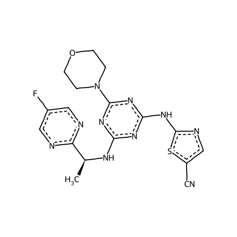 C[C@H](Nc1nc(Nc2ncc(C#N)s2)nc(N2CCOCC2)n1)c1ncc(F)cn1